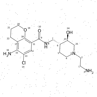 NCCN1CC[C@H](CNC(=O)c2cc(Cl)c(N)c3c2OCCC3)[C@@H](O)C1